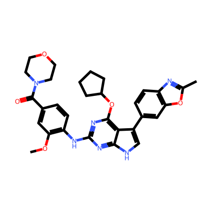 COc1cc(C(=O)N2CCOCC2)ccc1Nc1nc(OC2CCCC2)c2c(-c3ccc4nc(C)oc4c3)c[nH]c2n1